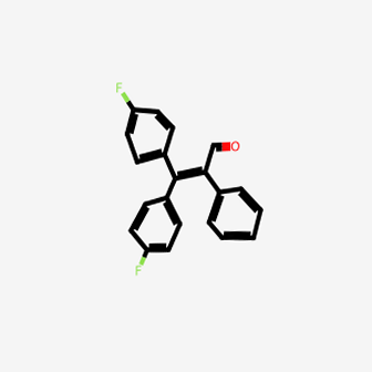 O=CC(=C(c1ccc(F)cc1)c1ccc(F)cc1)c1ccccc1